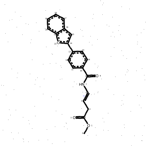 COC(=O)C/C=C/NC(=O)c1ccc(-c2cc3ccccc3o2)cc1